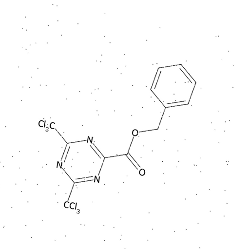 O=C(OCc1ccccc1)c1nc(C(Cl)(Cl)Cl)nc(C(Cl)(Cl)Cl)n1